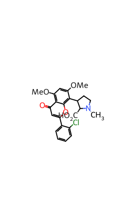 COc1cc(OC)c2c(=O)cc(-c3ccccc3Cl)oc2c1C1CCN(C)C1C(=O)O